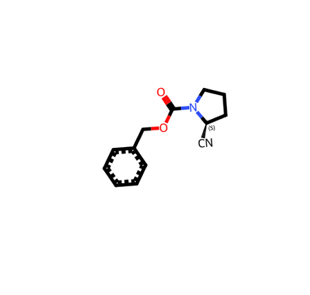 N#C[C@@H]1CCCN1C(=O)OCc1ccccc1